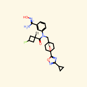 CCC1(C(=O)N(CC23CCC(c4nc(C5CC5)no4)(CC2)OC3)c2cccc(/C(N)=N/O)c2)CC(F)C1